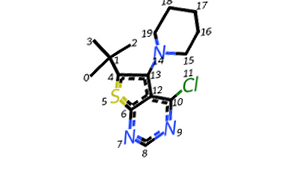 CC(C)(C)c1sc2ncnc(Cl)c2c1N1CCCCC1